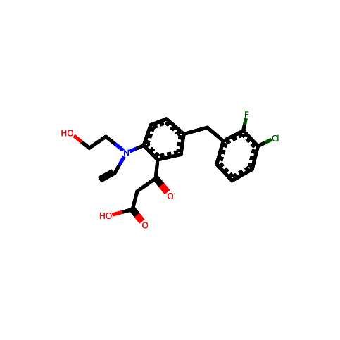 C=CN(CCO)c1ccc(Cc2cccc(Cl)c2F)cc1C(=O)CC(=O)O